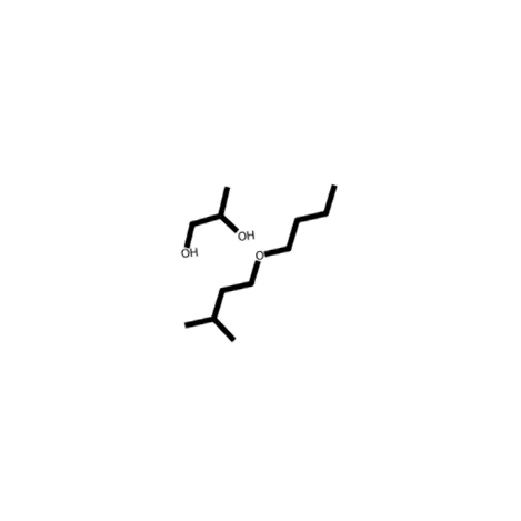 CC(O)CO.CCCCOCCC(C)C